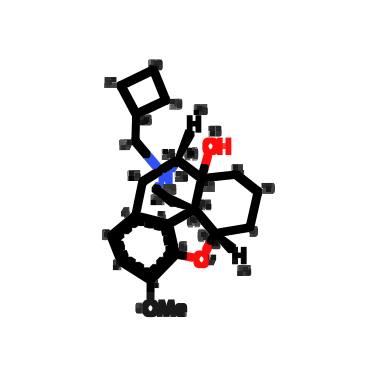 COc1ccc2c3c1O[C@H]1CCCC4(O)[C@@H](C2)N(CC2CCC2)CC[C@]314